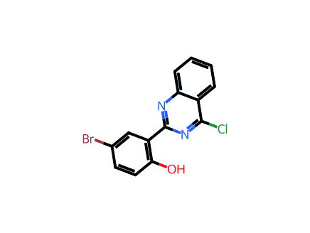 Oc1ccc(Br)cc1-c1nc(Cl)c2ccccc2n1